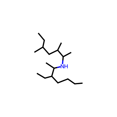 CCCCC(CC)C(C)NC(C)C(C)CC(C)CC